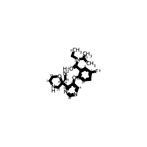 CCN(C(=O)c1cc(F)ccc1Oc1cncnc1[C@]1(CN)CNCCO1)C(C)C